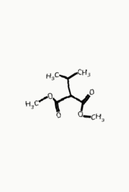 COC(=O)C(C(=O)OC)C(C)C